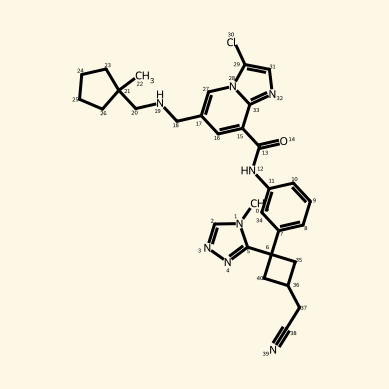 Cn1cnnc1C1(c2cccc(NC(=O)c3cc(CNCC4(C)CCCC4)cn4c(Cl)cnc34)c2)CC(CC#N)C1